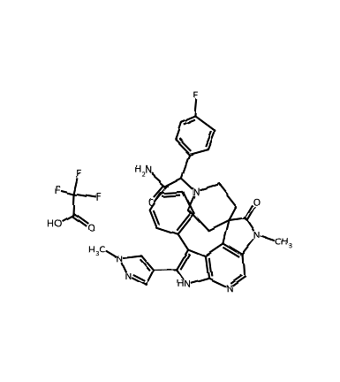 CN1C(=O)C2(CCN(C(C(N)=O)c3ccc(F)cc3)CC2)c2c1cnc1[nH]c(-c3cnn(C)c3)c(-c3ccccc3)c21.O=C(O)C(F)(F)F